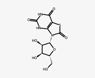 O=c1[nH]c(=O)c2sc(=O)n([C@@H]3O[C@H](CO)[C@@H](O)[C@H]3O)c2[nH]1